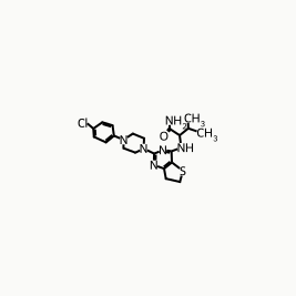 CC(C)C(Nc1nc(N2CCN(c3ccc(Cl)cc3)CC2)nc2c1SCC2)C(N)=O